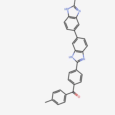 Cc1ccc(C(=O)c2ccc(-c3nc4ccc(-c5ccc6[nH]c(C(C)C)nc6c5)cc4[nH]3)cc2)cc1